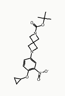 CC(C)(C)OC(=O)N1CC2(C1)CN(c1ccc(OC3CC3)c([N+](=O)[O-])c1)C2